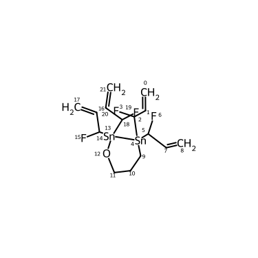 C=C[CH](F)[Sn]1([CH](F)C=C)[CH2]CC[O][Sn]1([CH](F)C=C)[CH](F)C=C